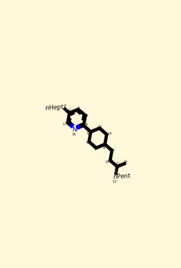 CCCCCCCc1ccc(C2CCC(CCC(C)CCCCC)CC2)nc1